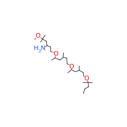 CCCC(C)(C)OCCC(C)CC(C)OCCC(C)CC(C)OCCC(N)CC(C)(C)OC